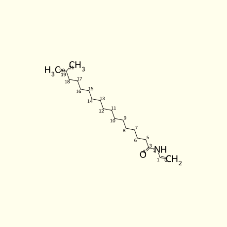 C=CNC(=O)CCCCCCCCCCCCCCC(C)C